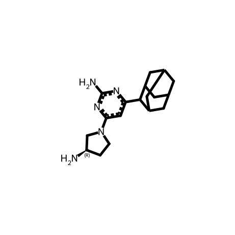 Nc1nc(C2C3CC4CC(C3)CC2C4)cc(N2CC[C@@H](N)C2)n1